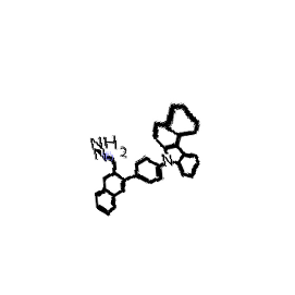 N/N=C/C1Cc2ccccc2C=C1C1=CC=C(n2c3ccccc3c3c4ccccc4ccc32)CC1